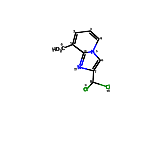 O=C(O)c1cccn2cc(C(Cl)Cl)nc12